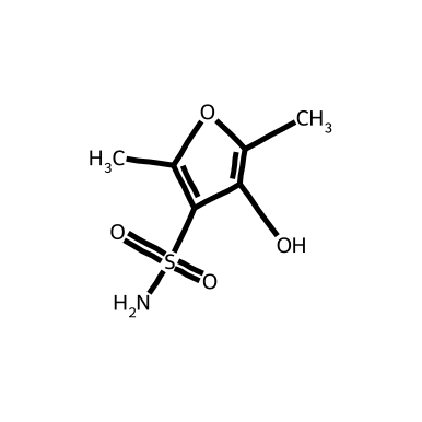 Cc1oc(C)c(S(N)(=O)=O)c1O